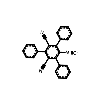 [C-]#[N+]c1c(-c2ccccc2)c(C#N)c(-c2ccccc2)c(C#N)c1-c1ccccc1